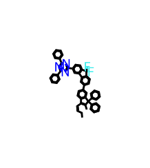 CC/C=C\C1=C(C)C(c2ccccc2)(c2ccccc2)c2cc(-c3ccc4c(c3)-c3cc(-c5nc(-c6ccccc6)nc(-c6ccccc6)n5)ccc3C4(F)F)ccc21